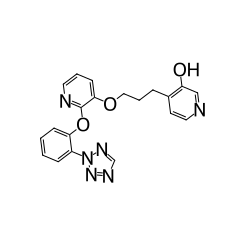 Oc1cnccc1CCCOc1cccnc1Oc1ccccc1-n1ncnn1